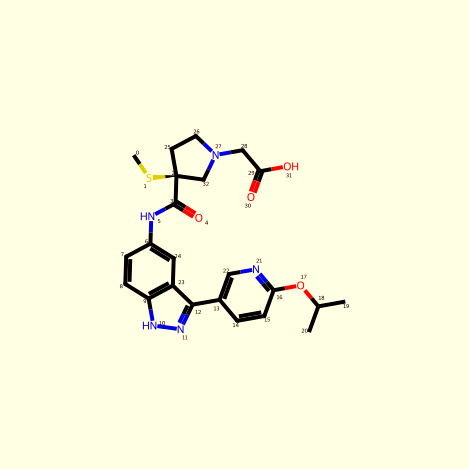 CS[C@@]1(C(=O)Nc2ccc3[nH]nc(-c4ccc(OC(C)C)nc4)c3c2)CCN(CC(=O)O)C1